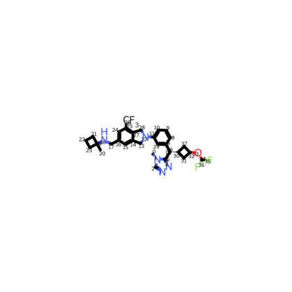 Cn1cnnc1[C@H](c1cccc(N2Cc3cc(CNC4(C)CCC4)cc(C(F)(F)F)c3C2)c1)C1CC(OC(F)F)C1